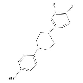 CCCc1ccc(C2CCC(c3ccc(F)c(F)c3)CC2)cc1